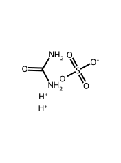 NC(N)=O.O=S(=O)([O-])[O-].[H+].[H+]